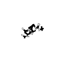 CC(=O)Nc1cc2n(c(=O)c1)CC1C[C@H]2CN(C(=O)OC(C)(C)C)C1